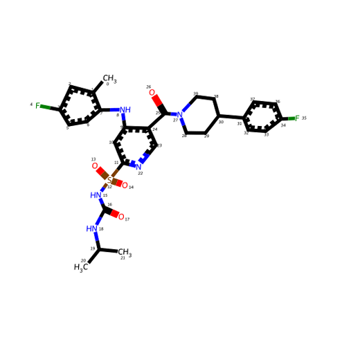 Cc1cc(F)ccc1Nc1cc(S(=O)(=O)NC(=O)NC(C)C)ncc1C(=O)N1CCC(c2ccc(F)cc2)CC1